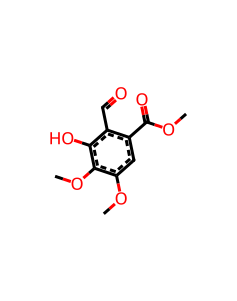 COC(=O)c1cc(OC)c(OC)c(O)c1C=O